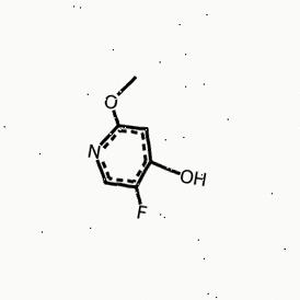 COc1cc(O)c(F)cn1